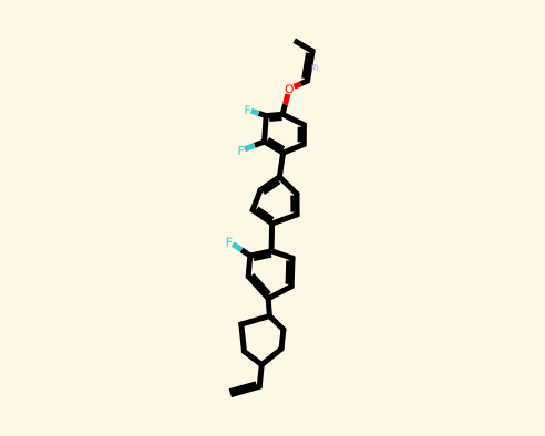 C=CC1CCC(c2ccc(-c3ccc(-c4ccc(O/C=C\C)c(F)c4F)cc3)c(F)c2)CC1